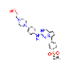 CS(=O)(=O)c1ccc(-c2ccc3cnc(Nc4ccc(N5CCN(CCO)CC5)cc4)nn23)cc1